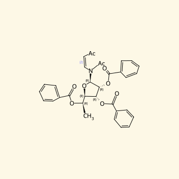 CC(=O)/C=C\N(C(C)=O)[C@@H]1O[C@H]([C@@H](C)OC(=O)c2ccccc2)[C@@H](OC(=O)c2ccccc2)[C@H]1OC(=O)c1ccccc1